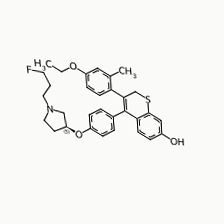 CCOc1ccc(C2=C(c3ccc(O[C@H]4CCN(CCCF)C4)cc3)c3ccc(O)cc3SC2)c(C)c1